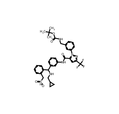 CC(C)(C)OC(=O)NCc1cccc(-n2nc(C(F)(F)F)cc2C(=O)Nc2cccc(C(NCC3CC3)c3ccccc3C[SH](=O)=O)c2)c1